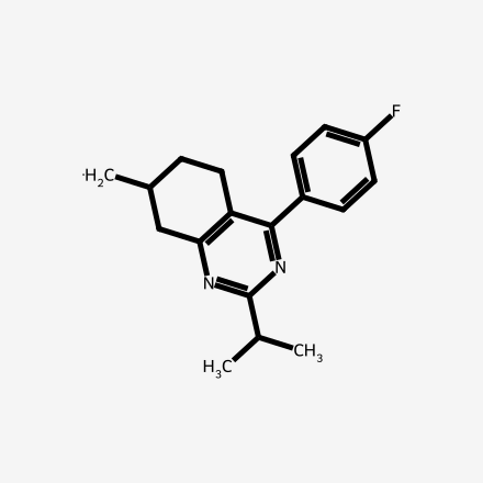 [CH2]C1CCc2c(nc(C(C)C)nc2-c2ccc(F)cc2)C1